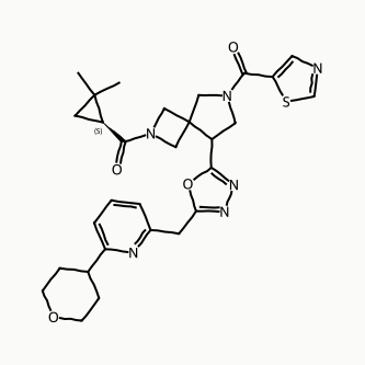 CC1(C)C[C@@H]1C(=O)N1CC2(CN(C(=O)c3cncs3)CC2c2nnc(Cc3cccc(C4CCOCC4)n3)o2)C1